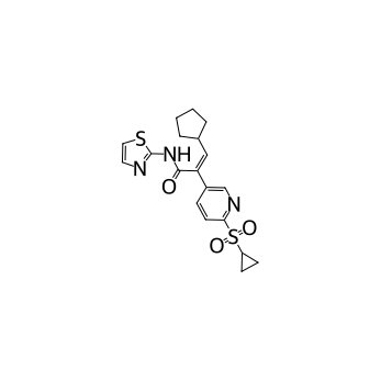 O=C(Nc1nccs1)C(=CC1CCCC1)c1ccc(S(=O)(=O)C2CC2)nc1